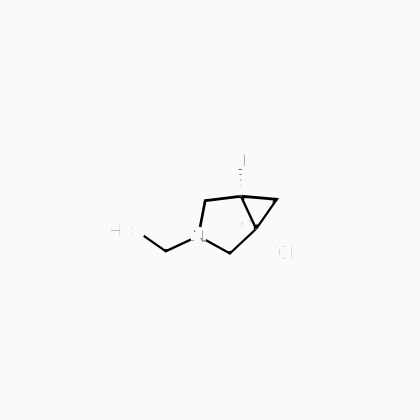 CCN1C[C@H]2C[C@@]2(C)C1